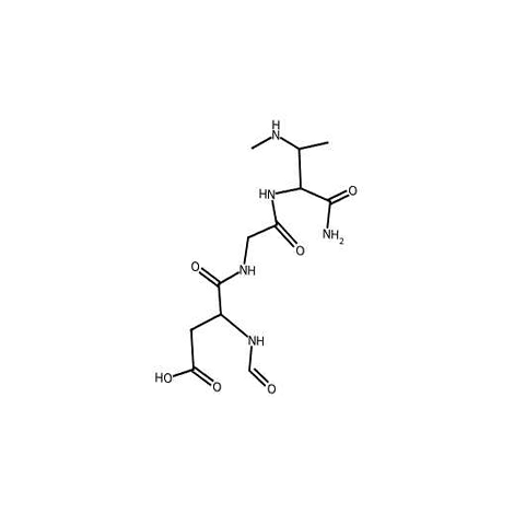 CNC(C)C(NC(=O)CNC(=O)C(CC(=O)O)NC=O)C(N)=O